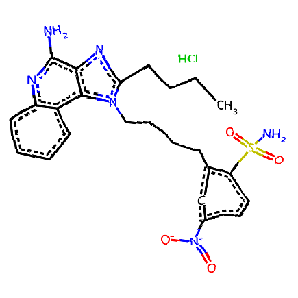 CCCCc1nc2c(N)nc3ccccc3c2n1CCCCc1cc([N+](=O)[O-])ccc1S(N)(=O)=O.Cl